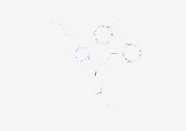 COC(=O)CC[C@@H]1N=C(c2ccccc2F)c2cc(Br)ccc2-n2c(SCCN)nnc21